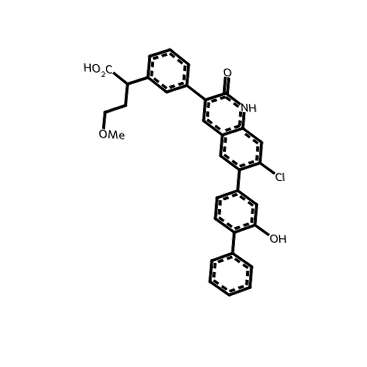 COCCC(C(=O)O)c1cccc(-c2cc3cc(-c4ccc(-c5ccccc5)c(O)c4)c(Cl)cc3[nH]c2=O)c1